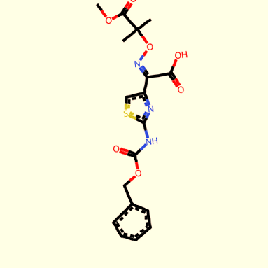 COC(=O)C(C)(C)ON=C(C(=O)O)c1csc(NC(=O)OCc2ccccc2)n1